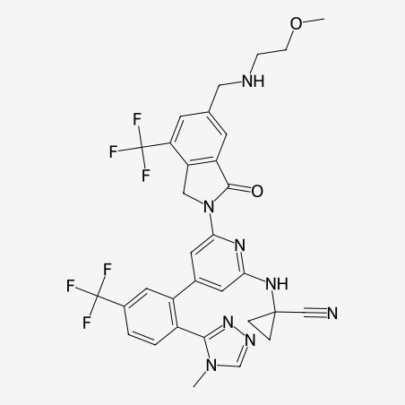 COCCNCc1cc2c(c(C(F)(F)F)c1)CN(c1cc(-c3cc(C(F)(F)F)ccc3-c3nncn3C)cc(NC3(C#N)CC3)n1)C2=O